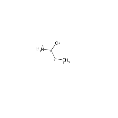 CC[C](N)Cl